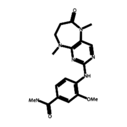 CNC(=O)c1ccc(Nc2ncc3c(n2)N(C)CCC(=O)N3C)c(OC)c1